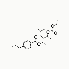 CCCc1ccc(C(=O)OC(C)C(CC(C)C)C(C)OC(=O)OCC)cc1